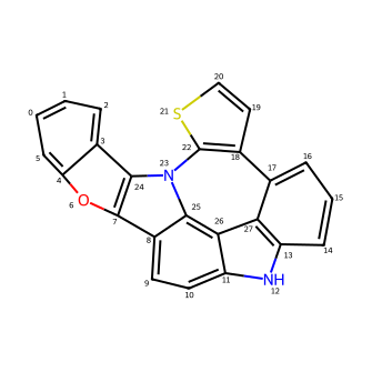 c1ccc2c(c1)oc1c3ccc4[nH]c5cccc6c7ccsc7n(c21)c3c4c56